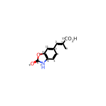 C/C(=C\c1ccc2[nH]c(=O)oc2c1)C(=O)O